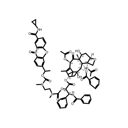 CC(=O)O[C@H]1C(=O)[C@@]2(C)[C@H]([C@H](OC(=O)c3ccccc3)[C@]3(O)C[C@H](OC(=O)[C@H](OC(=O)N(C)CCN(C)C(=O)OC(C)c4ccc([N+](=O)[O-])c(Oc5ccc(C(=O)NC6CC6)cc5)c4)[C@@H](NC(=O)c4ccccc4)c4ccccc4)C(C)=C1C3(C)C)[C@]1(OC(C)=O)CO[C@@H]1C[C@@H]2O